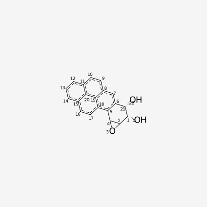 O[C@@H]1C2OC2c2c(cc3ccc4cccc5ccc2c3c45)[C@@H]1O